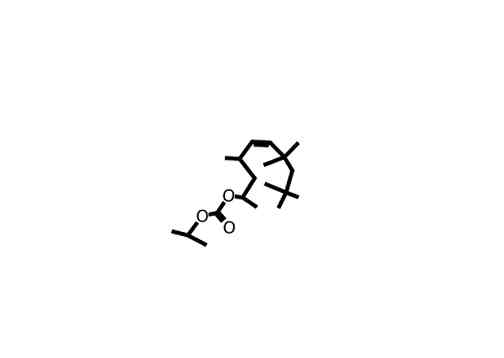 CC(/C=C\C(C)(C)CC(C)(C)C)CC(C)OC(=O)OC(C)C